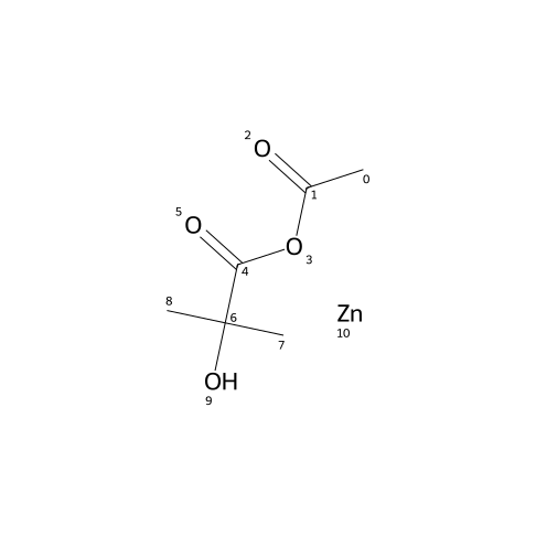 CC(=O)OC(=O)C(C)(C)O.[Zn]